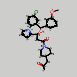 COc1cccc(C2OC(CC(=O)N3CCC(CC(C)=O)CC3)c3cccn3-c3ccc(Cl)cc32)c1